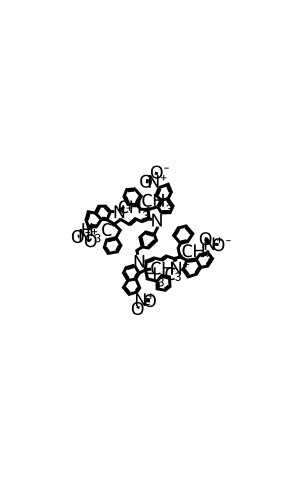 C[N+]1=C(/C=C/C=C2/N(Cc3ccc(CN4/C(=C/C=C/C5=[N+](C)c6ccc7ccc([N+](=O)[O-])cc7c6C5(C)Cc5ccccc5)C(C)(Cc5ccccc5)c5c4ccc4ccc([N+](=O)[O-])cc54)cc3)c3ccc4ccc([N+](=O)[O-])cc4c3C2(C)Cc2ccccc2)C(C)(Cc2ccccc2)c2c1ccc1ccc([N+](=O)[O-])cc21